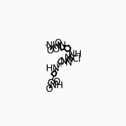 CNC(=O)COc1cc2cc(Nc3nc(N4CCC[C@@H](CNc5ccc(C6CCC(=O)NC6=O)cc5)C4)ncc3Cl)ccc2n(C)c1=O